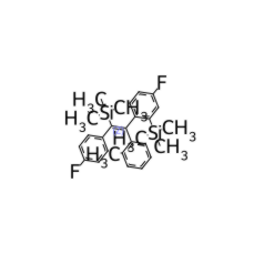 Cc1ccccc1/C(=C(\c1ccc(F)cc1)[Si](C)(C)C)c1ccc(F)cc1[Si](C)(C)C